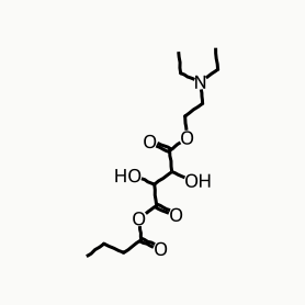 CCCC(=O)OC(=O)C(O)C(O)C(=O)OCCN(CC)CC